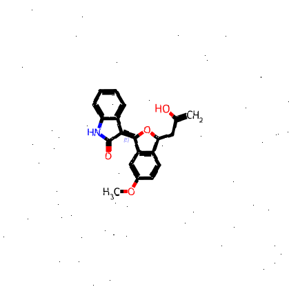 C=C(O)CC1O/C(=C2/C(=O)Nc3ccccc32)c2cc(OC)ccc21